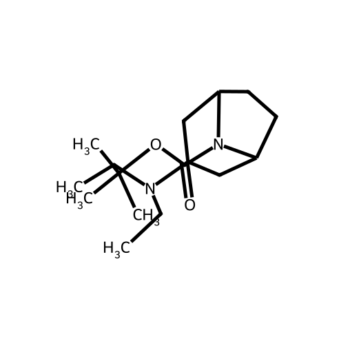 CCN(CC)C1CC2CCC(C1)N2C(=O)OC(C)(C)C